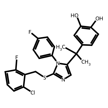 CC(C)(c1ccc(O)c(O)c1)c1cnc(SCc2c(F)cccc2Cl)n1-c1ccc(F)cc1